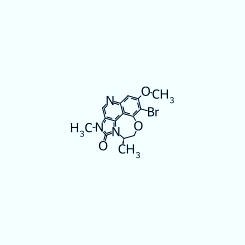 COc1cc2ncc3c4c2c(c1Br)OC[C@@H](C)n4c(=O)n3C